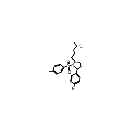 Cc1ccc(S(=O)(=O)N2C(CCCC(C)Cl)CCC2c2ccc(F)cc2)cc1